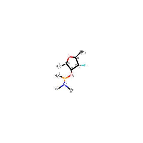 B[C@@H]1O[C@H](C)[C@@H](OP(C)N(C(C)C)C(C)C)[C@@H]1F